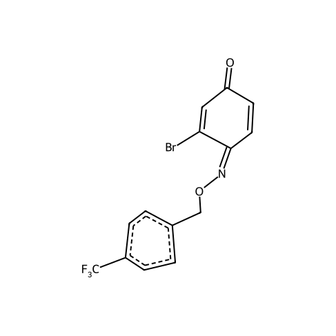 O=C1C=CC(=NOCc2ccc(C(F)(F)F)cc2)C(Br)=C1